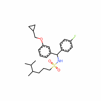 CC(C)C(C)CCCS(=O)(=O)NC(c1ccc(F)cc1)c1cccc(OCC2CC2)c1